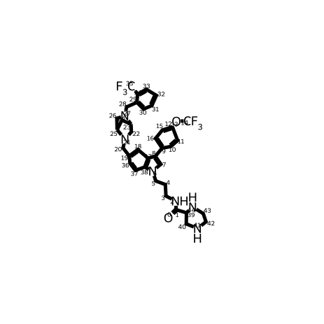 O=C(NCCCn1cc(-c2ccc(OC(F)(F)F)cc2)c2cc(CN3CC4CC3CN4Cc3ccccc3C(F)(F)F)ccc21)C1CNCCN1